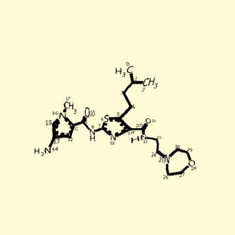 CC(C)CCc1sc(NC(=O)c2cc(N)cn2C)nc1C(=O)NCCN1CCOCC1